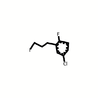 Fc1ccc(Cl)cc1CCCI